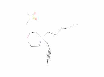 CCCCCCCCCCCCCC[N+]1(CC#CI)CCOCC1.CS(=O)(=O)[O-]